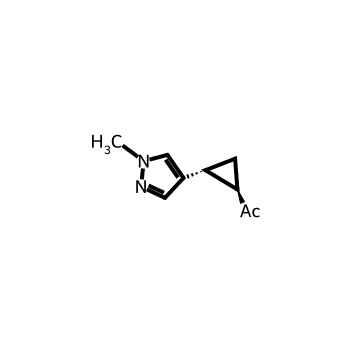 CC(=O)[C@@H]1C[C@H]1c1cnn(C)c1